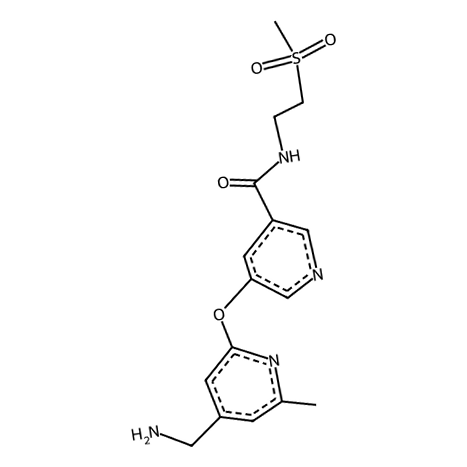 Cc1cc(CN)cc(Oc2cncc(C(=O)NCCS(C)(=O)=O)c2)n1